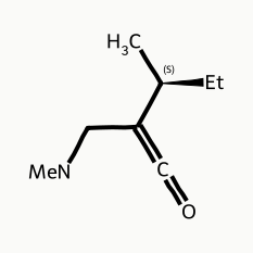 CC[C@H](C)C(=C=O)CNC